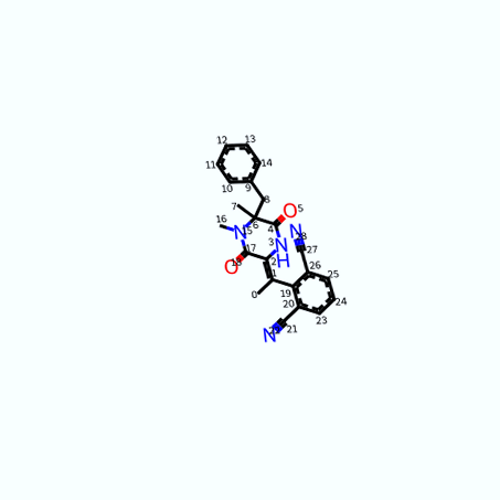 CC(=C1NC(=O)C(C)(Cc2ccccc2)N(C)C1=O)c1c(C#N)cccc1C#N